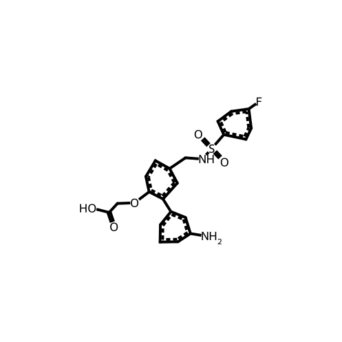 Nc1cccc(-c2cc(CNS(=O)(=O)c3ccc(F)cc3)ccc2OCC(=O)O)c1